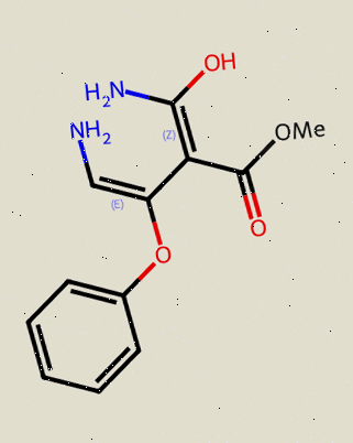 COC(=O)C(=C(/N)O)/C(=C\N)Oc1ccccc1